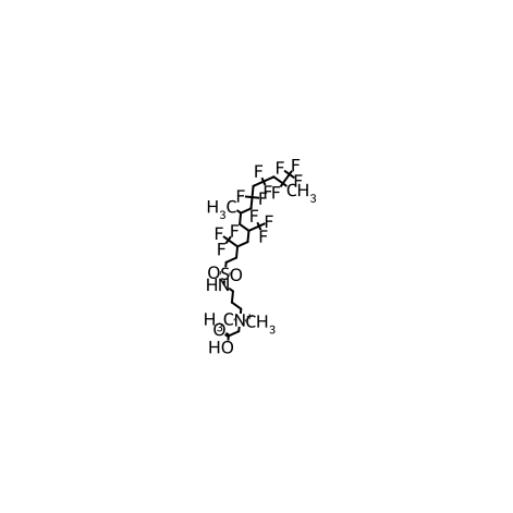 CC(CC(CC(CCS(=O)(=O)NCCC[N+](C)(C)CC(=O)O)C(F)(F)F)C(F)(F)F)CC(F)(F)CC(F)(F)CC(C)(F)C(F)(F)F